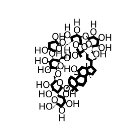 C[C@H](CC[C@@H](O[C@@H]1O[C@H](CO[C@@H]2OC[C@@H](O)C[C@H]2O)[C@@H](O)[C@H](O)[C@H]1O[C@H]1O[C@@H](CO)[C@H](O)[C@@H](O)[C@@H]1O)C(C)(C)O)C1CC[C@@]2(C)C3CC=C4C(CC[C@H](O[C@@H]5O[C@H](CO[C@@H]6O[C@H](CO)[C@@H](O)[C@H](O)[C@H]6O)[C@@H](O)[C@H](O)[C@H]5C5O[C@@H](CO)[C@H](O)[C@@H](O)[C@@H]5O)C4(C)C)[C@]3(C)[C@H](O)C[C@]12C